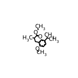 CCOC(=O)C(C)Cc1cc(C(C)C)ccc1OC